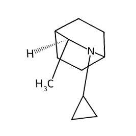 C[C@H]1C2CCC(CC2)N1C1CC1